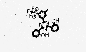 Cc1cc(-c2nc(-c3ccccc3O)nc(-c3ccccc3O)n2)cc(S(=O)(=O)C(F)(F)F)c1